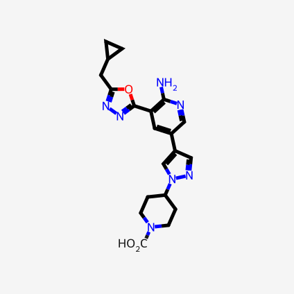 Nc1ncc(-c2cnn(C3CCN(C(=O)O)CC3)c2)cc1-c1nnc(CC2CC2)o1